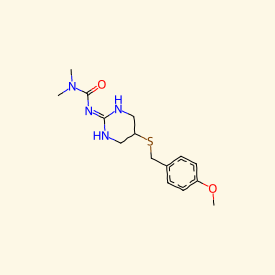 COc1ccc(CSC2CNC(=NC(=O)N(C)C)NC2)cc1